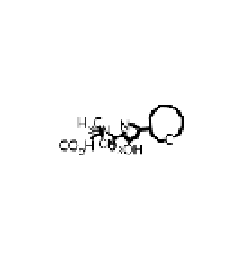 CC(C)(CC(=O)O)NC(=O)c1ncc(C2CCCCCCCCCCC2)cc1O